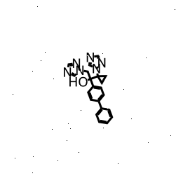 OC(Cn1cncn1)(c1ccc(-c2ccccc2)cc1)C1(n2cncn2)CC1